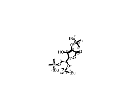 CC(C)(C)[Si](C)(C)OC[C@H](O[Si](C)(C)C(C)(C)C)[C@H]1OC(=O)C(O[Si](C)(C)C(C)(C)C)=C1O